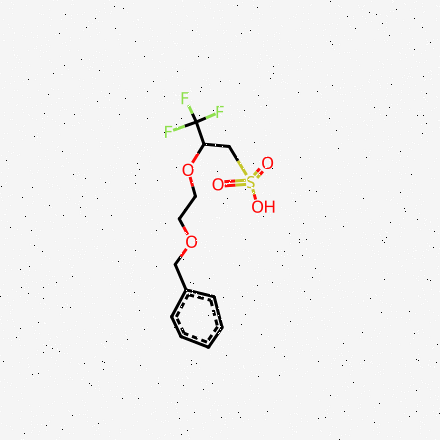 O=S(=O)(O)CC(OCCOCc1ccccc1)C(F)(F)F